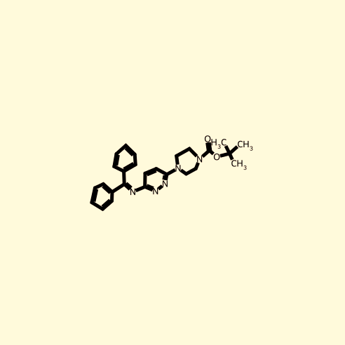 CC(C)(C)OC(=O)N1CCN(c2ccc(N=C(c3ccccc3)c3ccccc3)nn2)CC1